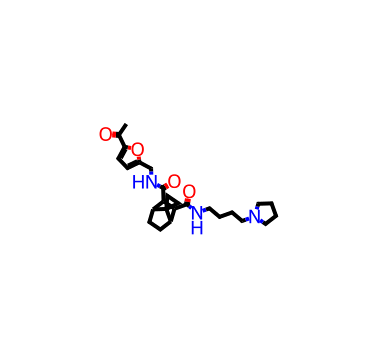 CC(=O)c1ccc(CNC(=O)C2C(C(=O)NCCCCN3CCCC3)C3CCC2C32CC2)o1